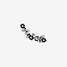 O=C(NCc1ccccc1)Oc1cc2c(Br)c(N3CCN(S(=O)(=O)c4ccccc4Cl)CC3)ccc2o1